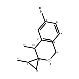 CC1CC12OCc1ccc(F)cc1C2C